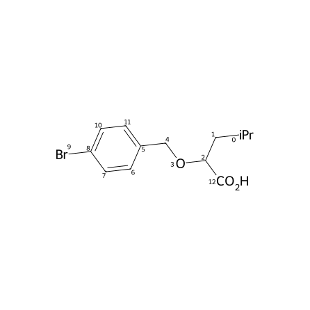 CC(C)CC(OCc1ccc(Br)cc1)C(=O)O